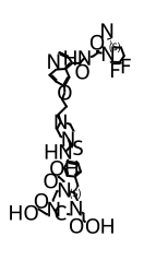 N#C[C@@H]1CCC(F)(F)CN1C(=O)CNC(=O)c1ccnc2ccc(OCCCN3CCN(C(=S)Nc4ccc(C[C@H]5CN(CC(=O)O)CCN(CC(=O)O)CCN5CC(=O)O)cc4)CC3)cc12